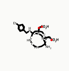 CCc1ccc(CNC23CNCCNCC(N)(CN(CC(=O)O)CCN(CC(=O)O)C2)CN(CC(=O)O)CCN(CC(=O)O)C3)cc1